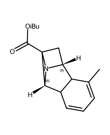 CC1=CC=CC2C1[C@H]1CC3(C(=O)OCC(C)C)[C@@H]2N13